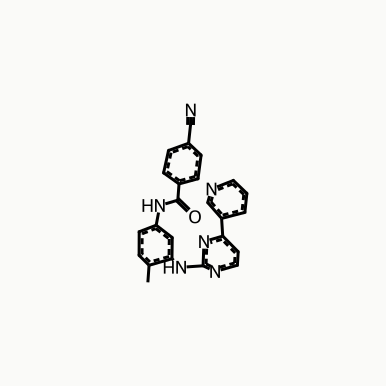 Cc1ccc(NC(=O)c2ccc(C#N)cc2)cc1Nc1nccc(-c2cccnc2)n1